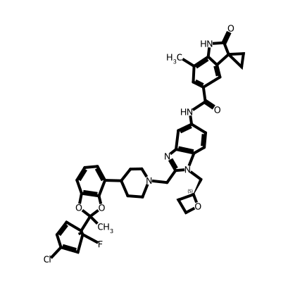 Cc1cc(C(=O)Nc2ccc3c(c2)nc(CN2CCC(c4cccc5c4OC(C)(c4ccc(Cl)cc4F)O5)CC2)n3C[C@@H]2CCO2)cc2c1NC(=O)C21CC1